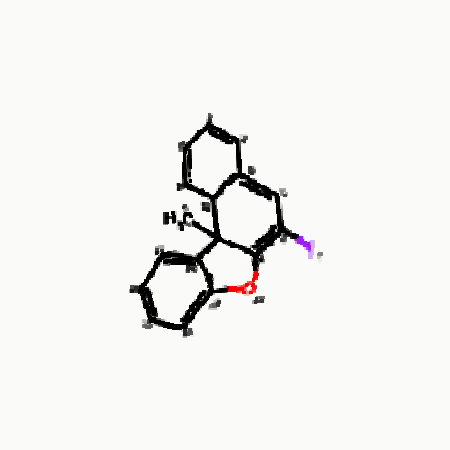 CC12C(=C(I)C=C3C=CC=CC31)Oc1ccccc12